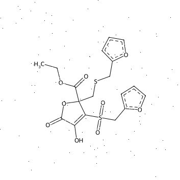 CCOC(=O)C1(CSCc2ccco2)OC(=O)C(O)=C1S(=O)(=O)Cc1ccco1